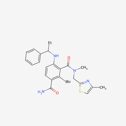 CCC(C)c1c(C(N)=O)ccc(NC(CC)c2ccccc2)c1C(=O)N(C)Cc1nc(C)cs1